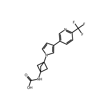 O=C(O)NC12CC(n3ccc(-c4ccc(C(F)(F)F)nc4)c3)(C1)C2